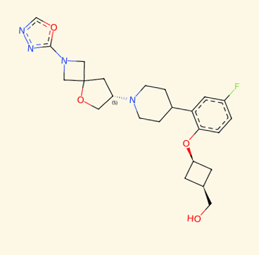 OC[C@H]1C[C@@H](Oc2ccc(F)cc2C2CCN([C@@H]3COC4(C3)CN(c3nnco3)C4)CC2)C1